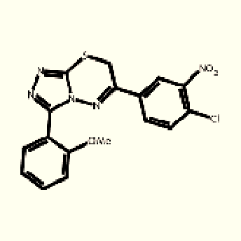 COc1ccccc1-c1nnc2n1N=C(c1ccc(Cl)c([N+](=O)[O-])c1)CS2